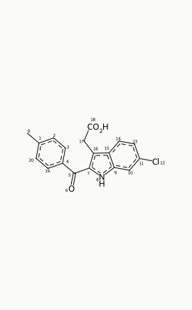 Cc1ccc(C(=O)c2[nH]c3cc(Cl)ccc3c2CC(=O)O)cc1